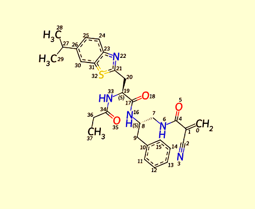 C=C(C#N)C(=O)NC[C@H](Cc1ccccc1)NC(=O)[C@H](Cc1nc2ccc(C(C)C)cc2s1)NC(=O)CC